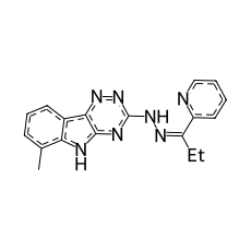 CCC(=NNc1nnc2c(n1)[nH]c1c(C)cccc12)c1ccccn1